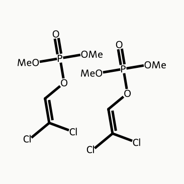 COP(=O)(OC)OC=C(Cl)Cl.COP(=O)(OC)OC=C(Cl)Cl